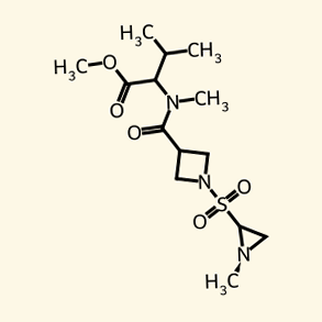 COC(=O)C(C(C)C)N(C)C(=O)C1CN(S(=O)(=O)C2C[N@@]2C)C1